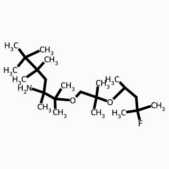 CC(CC(C)(C)F)OC(C)(C)COC(C)(C)C(C)(N)CC(C)(C)C(C)(C)C